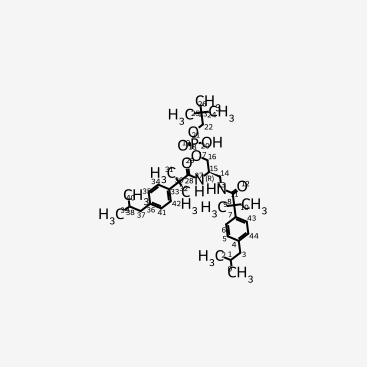 CC(C)Cc1ccc(C(C)(C)C(=O)NC[C@H](COP(=O)(O)OCC(C)(C)C)NC(=O)C(C)(C)c2ccc(CC(C)C)cc2)cc1